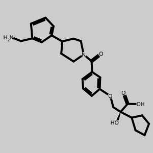 NCc1cccc(C2CCN(C(=O)c3cccc(OC[C@](O)(C(=O)O)C4CCCC4)c3)CC2)c1